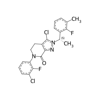 Cc1cccc([C@H](C)n2nc3c(c2Cl)CCN(c2cccc(Cl)c2F)C3=O)c1F